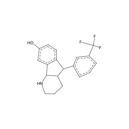 Oc1ccc2c(c1)C1NCCCC1C2c1cccc(C(F)(F)F)c1